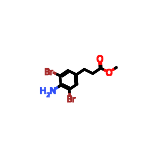 COC(=O)CCc1cc(Br)c(N)c(Br)c1